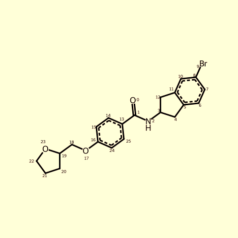 O=C(NC1Cc2ccc(Br)cc2C1)c1ccc(OCC2CCCO2)cc1